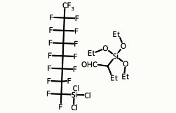 CCO[Si](OCC)(OCC)C(C=O)CC.FC(F)(F)C(F)(F)C(F)(F)C(F)(F)C(F)(F)C(F)(F)C(F)(F)C(F)(F)[Si](Cl)(Cl)Cl